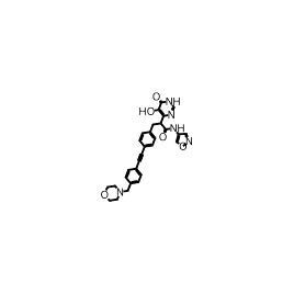 O=C(Nc1cnoc1)C(Cc1ccc(C#Cc2ccc(CN3CCOCC3)cc2)cc1)c1nc[nH]c(=O)c1O